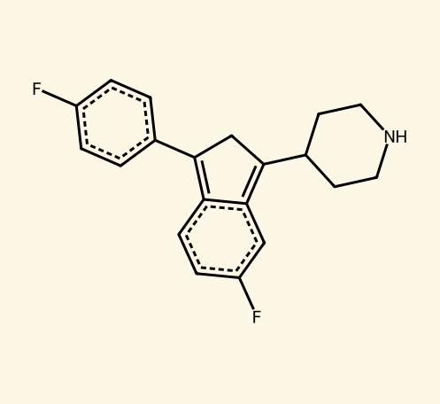 Fc1ccc(C2=c3ccc(F)cc3=C(C3CCNCC3)C2)cc1